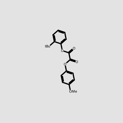 COc1ccc(OC(=O)C(=O)Oc2ccccc2C(C)(C)C)cc1